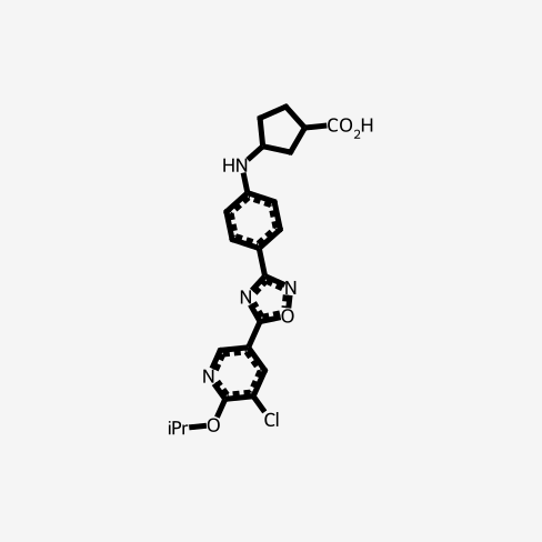 CC(C)Oc1ncc(-c2nc(-c3ccc(NC4CCC(C(=O)O)C4)cc3)no2)cc1Cl